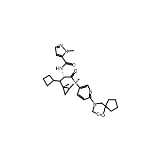 Cn1nccc1C(=O)N[C@@H]1C(=O)[N+](C)(c2ccc(N3CCOC4(CCCC4)C3)nc2)C2C[C@]2(C)C1C1CCC1